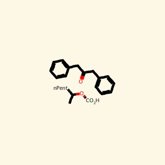 CCCCCC(C)OC(=O)O.O=C(Cc1ccccc1)Cc1ccccc1